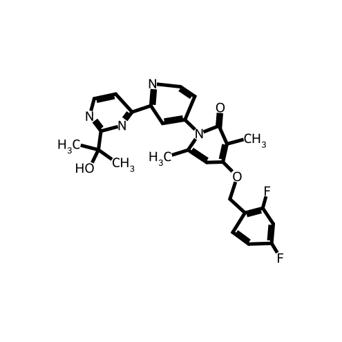 Cc1c(OCc2ccc(F)cc2F)cc(C)n(-c2ccnc(-c3ccnc(C(C)(C)O)n3)c2)c1=O